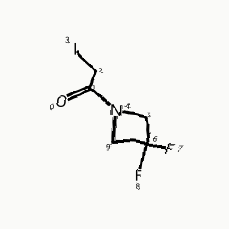 O=C(CI)N1CC(F)(F)C1